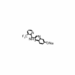 COc1ccc2cc(C(N)c3ncccc3C(F)(F)F)cnc2c1